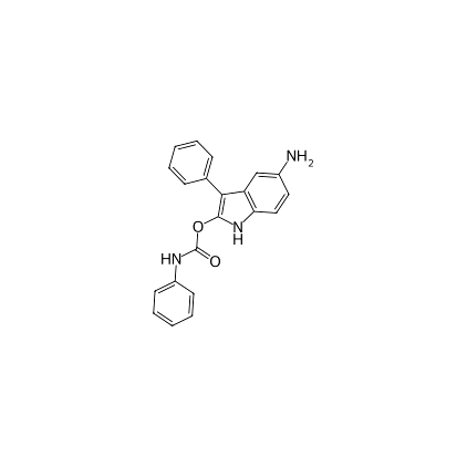 Nc1ccc2[nH]c(OC(=O)Nc3ccccc3)c(-c3ccccc3)c2c1